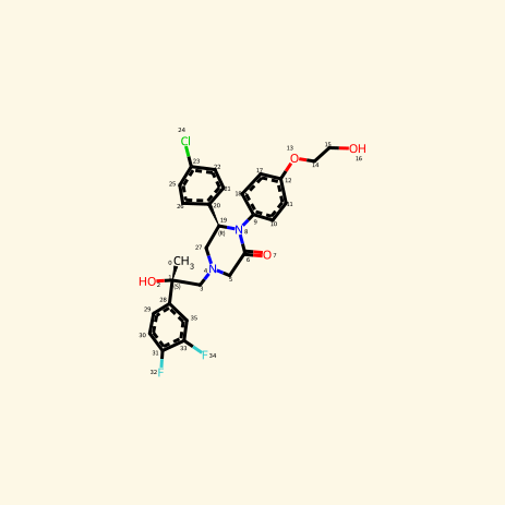 C[C@@](O)(CN1CC(=O)N(c2ccc(OCCO)cc2)[C@H](c2ccc(Cl)cc2)C1)c1ccc(F)c(F)c1